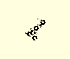 CN1CCCC(C(=O)NC2CCC(n3c(=O)c4cc(F)cnc4n(C4CCSCC4)c3=O)CC2)C1